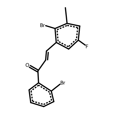 Cc1cc(F)cc(/C=C/C(=O)c2ccccc2Br)c1Br